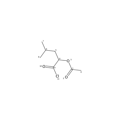 CC(=O)OC(CC(C)C)C(=O)Cl